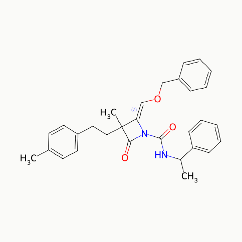 Cc1ccc(CCC2(C)C(=O)N(C(=O)NC(C)c3ccccc3)/C2=C\OCc2ccccc2)cc1